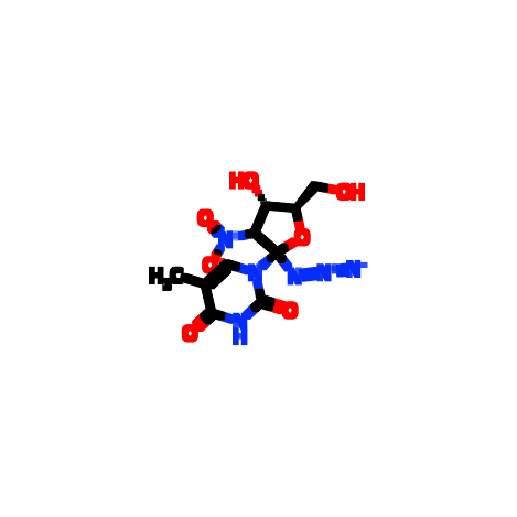 Cc1cn([C@]2(N=[N+]=[N-])O[C@H](CO)[C@@H](O)C2[N+](=O)[O-])c(=O)[nH]c1=O